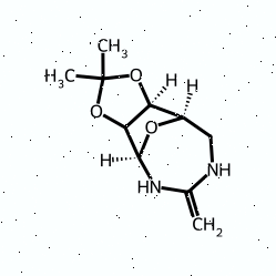 C=C1NC[C@H]2O[C@@H](N1)C1OC(C)(C)O[C@H]12